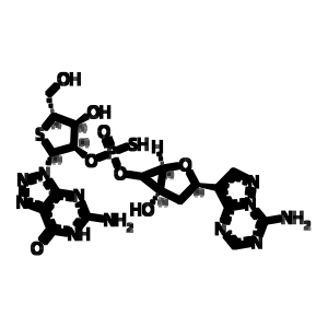 Nc1nc2c(nnn2[C@@H]2S[C@H](CO)[C@@H](O)[C@H]2OP(=O)(S)OC2[C@H]3O[C@@H](c4cnn5c(N)ncnc45)C[C@@]23O)c(=O)[nH]1